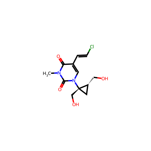 Cn1c(=O)c(/C=C/Cl)cn([C@@]2(CO)C[C@H]2CO)c1=O